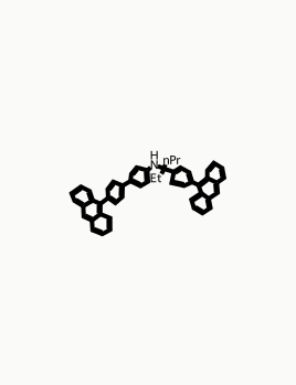 CCCC(CC)(Nc1ccc(-c2ccc(-c3c4ccccc4cc4ccccc34)cc2)cc1)c1ccc(-c2c3ccccc3cc3ccccc23)cc1